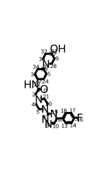 O=C(CN1CCN(c2nncc(-c3ccc(F)cc3)n2)CC1)NC1CCC(N2CCC(O)CC2)CC1